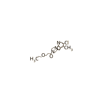 CCCOCCC(=O)N1CCn2c(cc3c(C)c(Cl)cnc32)C1